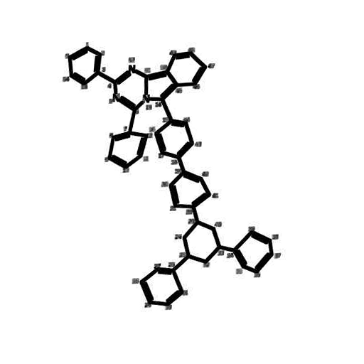 c1ccc(-c2nc(-c3ccccc3)n3c(-c4ccc(-c5ccc(C6CC(c7ccccc7)CC(c7ccccc7)C6)cc5)cc4)c4ccccc4c3n2)cc1